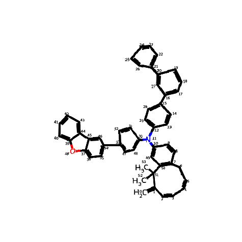 C=C1/C=C\C=C/Cc2ccc(N(c3ccc(-c4cccc(-c5ccccc5)c4)cc3)c3ccc(-c4ccc5oc6ccccc6c5c4)cc3)cc2C1(C)C